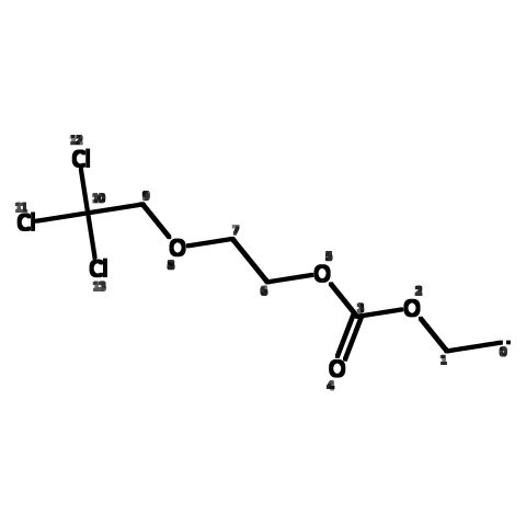 [CH2]COC(=O)OCCOCC(Cl)(Cl)Cl